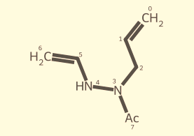 C=CCN(NC=C)C(C)=O